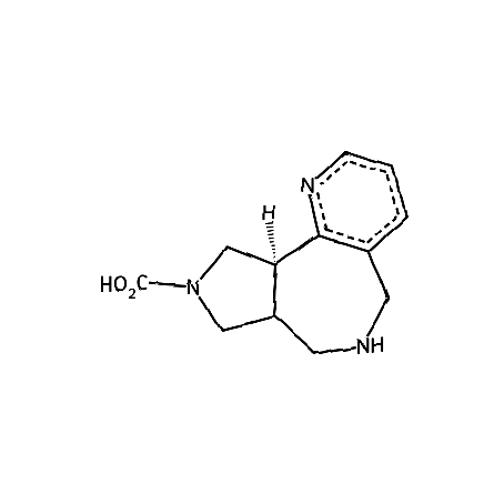 O=C(O)N1CC2CNCc3cccnc3[C@@H]2C1